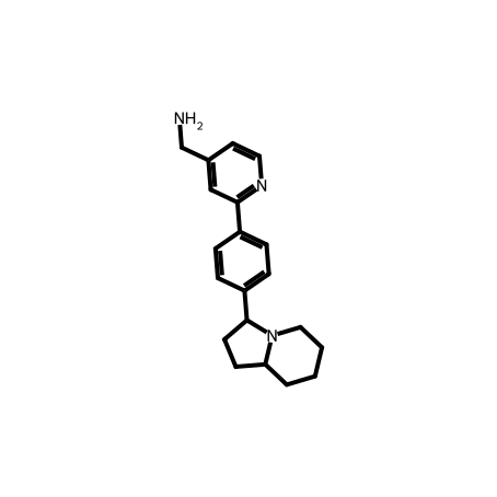 NCc1ccnc(-c2ccc(C3CCC4CCCCN43)cc2)c1